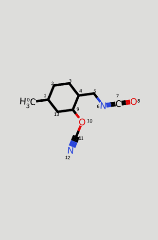 CC1CCC(CN=C=O)C(OC#N)C1